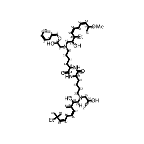 CCC(C)/C=C\C/C=C\OC(O)CN(CCCCC1NC(=O)C(CCCCN(CC(O)P)CC(O)C(C)/C=C\C/C=C\C(C)(C)CC)NC1=O)CC(O)C(/C=C\C/C=C\C(C)OC)CC